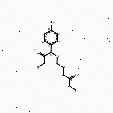 CCC(=O)CCCOC(C(=O)CC)c1ccc(F)cc1